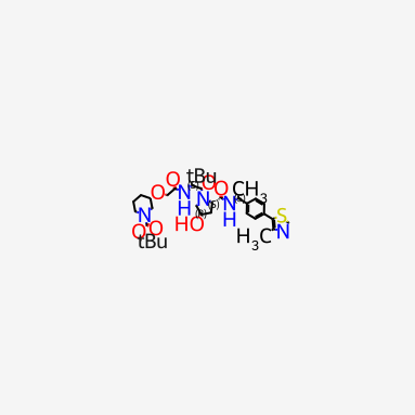 Cc1ncsc1-c1ccc([C@H](C)NC(=O)[C@@H]2C[C@@H](O)CN2C(=O)[C@@H](NC(=O)COC2CCCN(C(=O)OC(C)(C)C)C2)C(C)(C)C)cc1